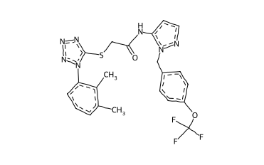 Cc1cccc(-n2nnnc2SCC(=O)Nc2ccnn2Cc2ccc(OC(F)(F)F)cc2)c1C